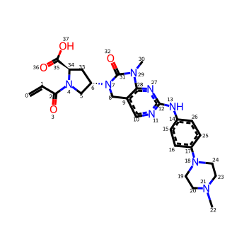 C=CC(=O)N1C[C@@H](N2Cc3cnc(Nc4ccc(N5CCN(C)CC5)cc4)nc3N(C)C2=O)C[C@@H]1C(=O)O